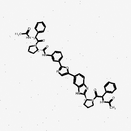 CC(=O)NC(C(=O)N1CCC[C@H]1c1nc2ccc(-c3cnc(-c4cccc(NC(=O)[C@@H]5CCCN5C(=O)[C@H](NC(C)=O)c5ccccc5)c4)o3)cc2[nH]1)c1ccccc1